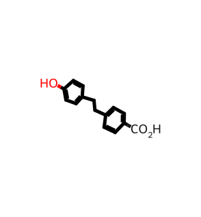 O=C(O)c1ccc(CCc2ccc(O)cc2)cc1